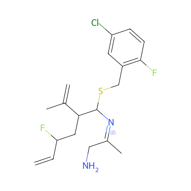 C=CC(F)CC(C(=C)C)C(/N=C(/C)CN)SCc1cc(Cl)ccc1F